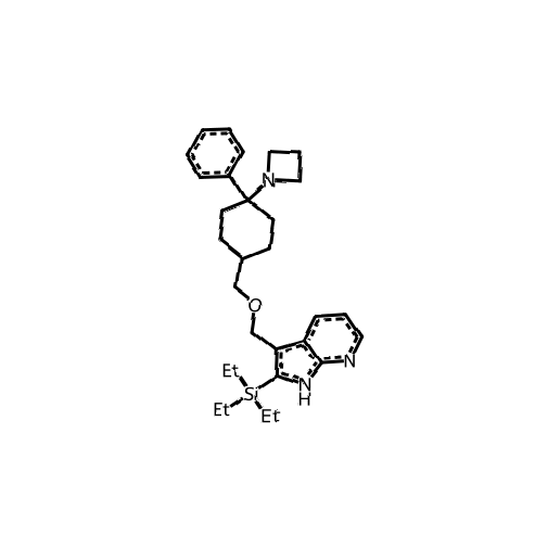 CC[Si](CC)(CC)c1[nH]c2ncccc2c1COCC1CCC(c2ccccc2)(N2CCC2)CC1